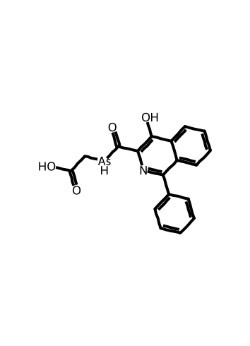 O=C(O)C[AsH]C(=O)c1nc(-c2ccccc2)c2ccccc2c1O